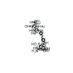 CC(=O)N[C@H]1[C@H]([C@H](OC(=O)Nc2ccc(CCc3ccc(NC(=O)O[C@@H]([C@@H]4OC(C(=O)O)=C[C@H](NC(=N)N)[C@H]4NC(C)=O)[C@H](O)CO)cc3)cc2)[C@H](O)CO)OC(C=O)=C[C@@H]1NC(=N)N